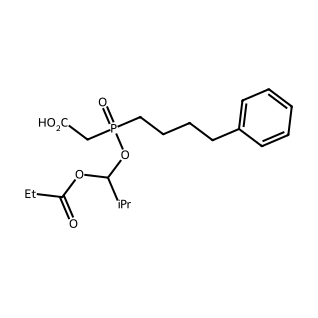 CCC(=O)OC(OP(=O)(CCCCc1ccccc1)CC(=O)O)C(C)C